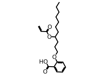 C=CC(=O)OC(CCCCCCC)CCCOc1ccccc1C(=O)O